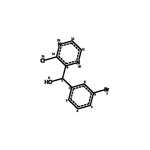 OC(c1cccc(Br)c1)c1nccnc1Cl